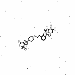 O=C1CCC([N+]2([O-])Cc3c(CCCN4CCC(n5cc([N+](=O)[O-])c(C(F)F)n5)CC4)cccc3C2=O)C(=O)N1